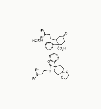 CC(C)N(CCC1CC(=O)CCC1(C(=O)O)c1ccccc1)C(C)C.CC(C)N(CCOC(=O)C1(c2ccccc2)CCC2(CC1)OCCO2)C(C)C.Cl.Cl